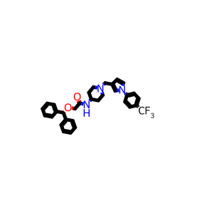 O=C(COC(c1ccccc1)c1ccccc1)NC1CCN(Cc2ccn(-c3ccc(C(F)(F)F)cc3)c2)CC1